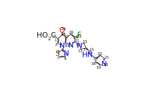 O=C(O)c1cn(-c2nccs2)c2nc(N3CC(CNc4ccncc4)C3)c(F)cc2c1=O